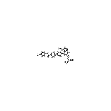 CC(O)COc1cc(-c2ccc(N3CCN(C(=O)Cc4ccc(Cl)cc4)CC3)nc2)c2c(C#N)cnn2c1